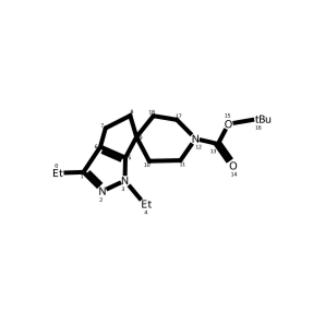 CCc1nn(CC)c2c1CCC21CCN(C(=O)OC(C)(C)C)CC1